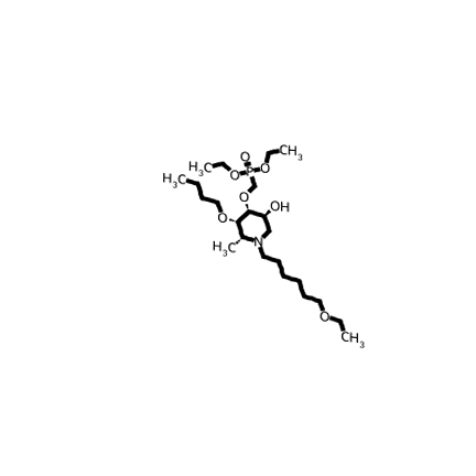 CCCCO[C@@H]1[C@H](OCP(=O)(OCC)OCC)[C@@H](O)CN(CCCCCCOCC)[C@@H]1C